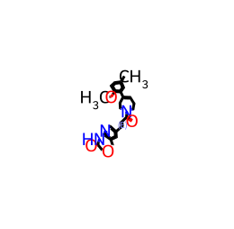 COc1ccc(C)cc1C1=CCCN(C(=O)/C=C/c2cnc3c(c2)COCC(=O)N3)CC1